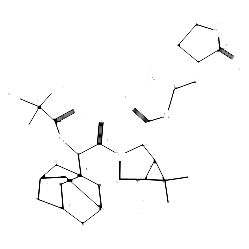 CC1(C)[C@@H]2[C@@H](C(=O)N[C@H](N)C[C@@H]3CCNC3=O)N(C(=O)C(NC(=O)C(F)(F)F)C34CC5CC(CC(C5)C3)C4)C[C@@H]21